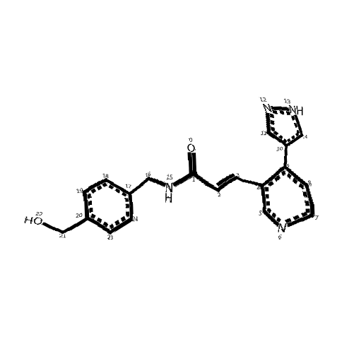 O=C(/C=C/c1cnccc1-c1cn[nH]c1)NCc1ccc(CO)cc1